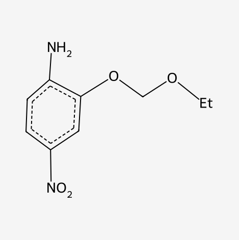 CCOCOc1cc([N+](=O)[O-])ccc1N